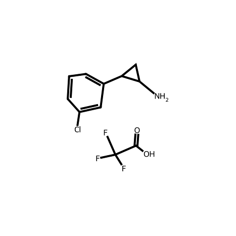 NC1CC1c1cccc(Cl)c1.O=C(O)C(F)(F)F